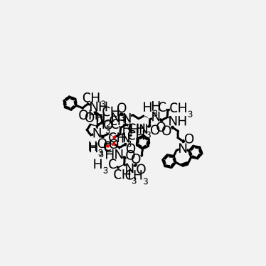 CC[C@H](C)[C@@H]([C@@H](CC(=O)N1CCC[C@H]1[C@H](OC)[C@@H](C)C(=O)N[C@H](C)[C@@H](O)c1ccccc1)OC)N(C)C(=O)[C@@H](NC(=O)[C@H](C(C)C)N(C)C(=O)OCc1ccc(NC(=O)[C@H](CCCNC(N)=O)NC(=O)[C@@H](NC(=O)CCC(=O)N2Cc3ccccc3C#Cc3ccccc32)C(C)C)cc1)C(C)C